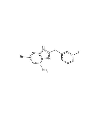 Nc1cc(Br)cc2[nH]c(Cc3cccc(F)c3)nc12